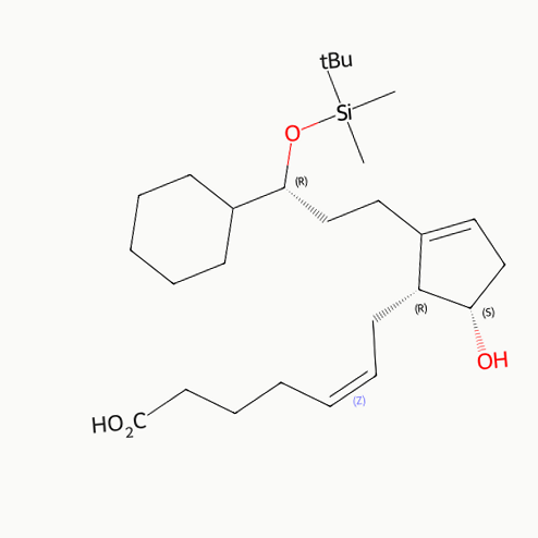 CC(C)(C)[Si](C)(C)O[C@H](CCC1=CC[C@H](O)[C@@H]1C/C=C\CCCC(=O)O)C1CCCCC1